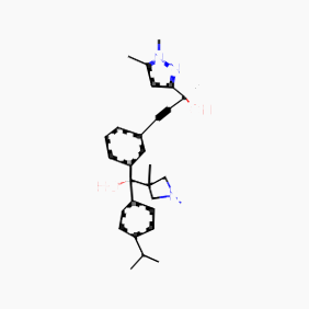 Cc1cc([C@@](C)(O)C#Cc2cccc([C@@](O)(c3ccc(C(C)C)cc3)C3(C)CN(C)C3)c2)nn1C